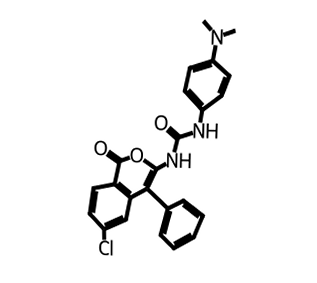 CN(C)c1ccc(NC(=O)Nc2oc(=O)c3ccc(Cl)cc3c2-c2ccccc2)cc1